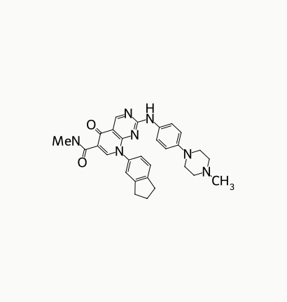 CNC(=O)c1cn(-c2ccc3c(c2)CCC3)c2nc(Nc3ccc(N4CCN(C)CC4)cc3)ncc2c1=O